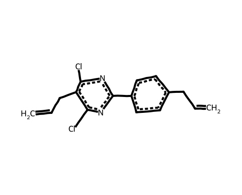 C=CCc1ccc(-c2nc(Cl)c(CC=C)c(Cl)n2)cc1